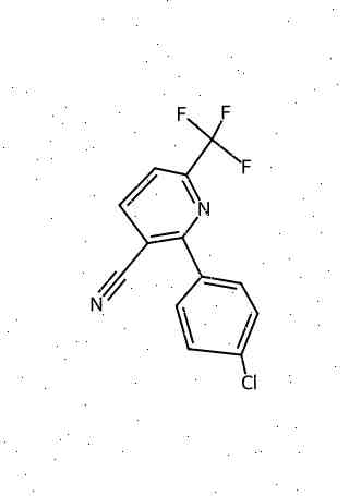 N#Cc1ccc(C(F)(F)F)nc1-c1ccc(Cl)cc1